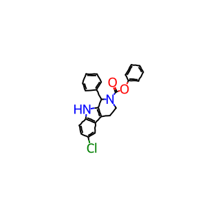 O=C(Oc1ccccc1)N1CCc2c([nH]c3ccc(Cl)cc23)C1c1ccccc1